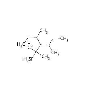 CCC(C)C(C(C)CC)C(C)(C)[SiH2]